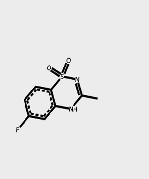 CC1=NS(=O)(=O)c2ccc(F)cc2N1